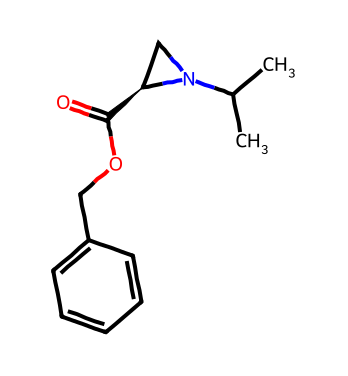 CC(C)N1C[C@@H]1C(=O)OCc1ccccc1